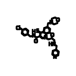 O=C(NCc1ccc(Cl)cc1)c1cn2c3c(cc(CN4CCOCC4)cc3c1=S)OC(CNCc1ccncc1)C2